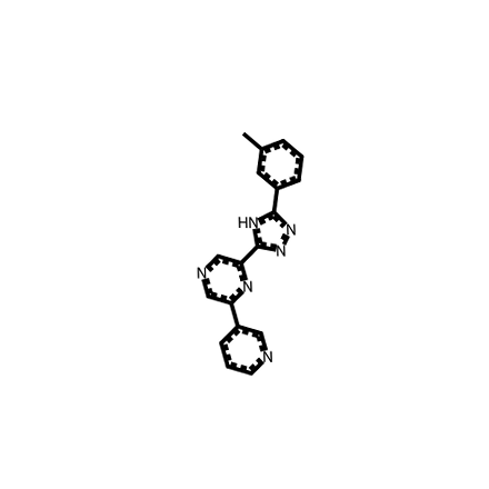 Cc1cccc(-c2nnc(-c3cncc(-c4cccnc4)n3)[nH]2)c1